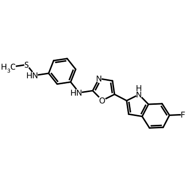 CSNc1cccc(Nc2ncc(-c3cc4ccc(F)cc4[nH]3)o2)c1